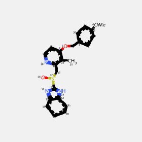 COc1ccc(COc2ccnc(C[S+]([O-])c3nc4ccccc4[nH]3)c2C)cc1